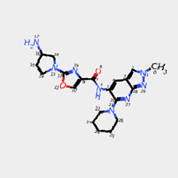 Cn1cc2cc(NC(=O)c3coc(N4CCC(N)C4)n3)c(N3CCCCC3)nc2n1